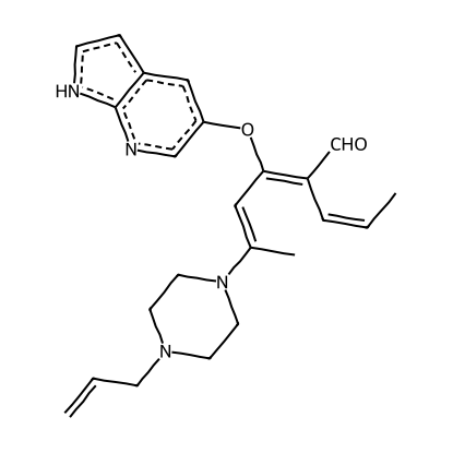 C=CCN1CCN(/C(C)=C/C(Oc2cnc3[nH]ccc3c2)=C(C=O)\C=C/C)CC1